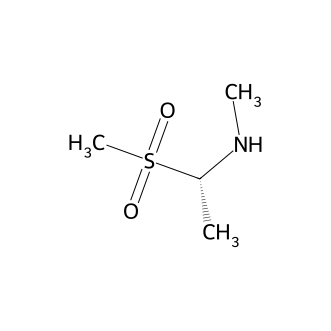 CN[C@H](C)S(C)(=O)=O